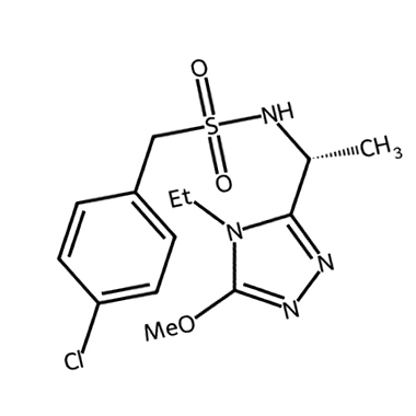 CCn1c(OC)nnc1[C@@H](C)NS(=O)(=O)Cc1ccc(Cl)cc1